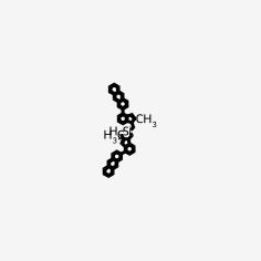 CC1=Cc2c(-c3ccc4cc5ccccc5cc4c3)cccc2C1C[SiH2]CC1C(C)=Cc2c(-c3ccc4cc5ccccc5cc4c3)cccc21